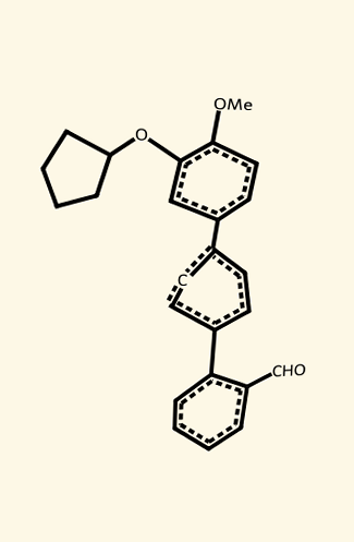 COc1ccc(-c2ccc(-c3ccccc3C=O)cc2)cc1OC1CCCC1